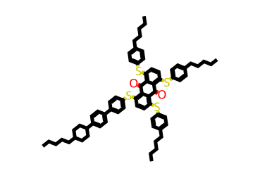 CCCCCc1ccc(Sc2ccc(Sc3ccc(CCCCC)cc3)c3c2C(=O)c2c(Sc4ccc(CCCCC)cc4)ccc(Sc4ccc(-c5ccc(C6CCC(CCCCC)CC6)cc5)cc4)c2C3=O)cc1